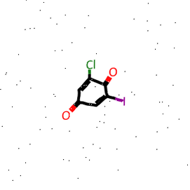 O=C1C=C(Cl)C(=O)C(I)=C1